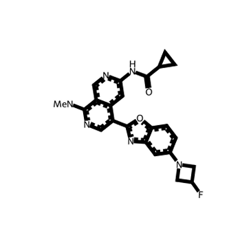 CNc1ncc(-c2nc3cc(N4CC(F)C4)ccc3o2)c2cc(NC(=O)C3CC3)ncc12